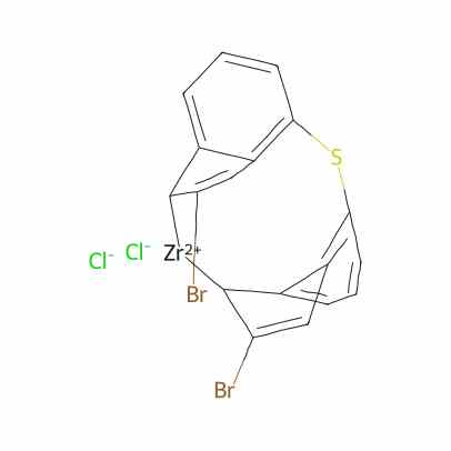 BrC1=Cc2c3cccc2[CH]1[Zr+2][CH]1C(Br)=Cc2c(cccc21)S3.[Cl-].[Cl-]